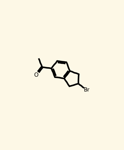 CC(=O)c1ccc2c(c1)CC(Br)C2